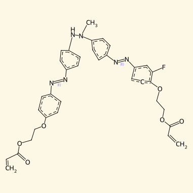 C=CC(=O)OCCOc1ccc(/N=N/c2ccc(NN(C)c3ccc(/N=N/c4ccc(OCCOC(=O)C=C)c(F)c4)cc3)cc2)cc1